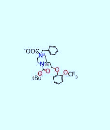 CC(C)(C)OC(=O)N1CC[N+](Cc2ccccc2)(C(=O)[O-])C[C@H]1CCOc1ccccc1OC(F)(F)F